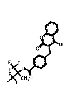 CC(OC(=O)c1ccc(Cc2c(O)c3ccccc3oc2=O)cc1)(C(F)(F)F)C(F)(F)F